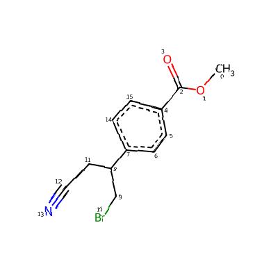 COC(=O)c1ccc(C(CBr)CC#N)cc1